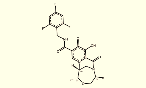 C[C@H]1OC[C@H](C)N2C[C@H]1n1cc(C(=O)NCc3c(F)cc(F)cc3F)c(=O)c(O)c1C2=O